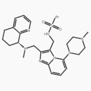 CC(C)S(=O)(=O)NCc1c(CN(C)[C@H]2CCCc3cccnc32)nc2cccc(N3CCN(C)CC3)n12